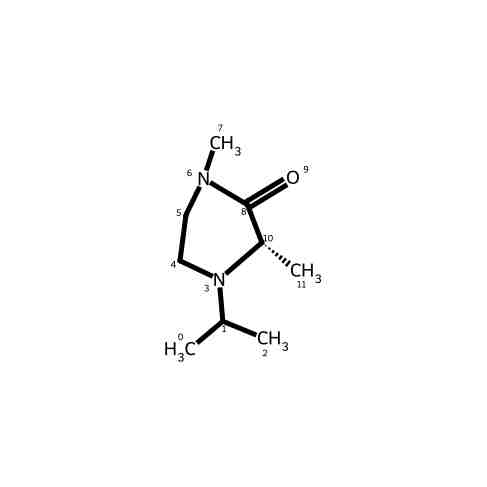 CC(C)N1CCN(C)C(=O)[C@@H]1C